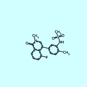 Cc1ccc(-c2cn(C)c(=O)c3cccc(F)c23)cc1NS(C)(=O)=O